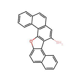 Bc1cc2ccc3ccccc3c2c2oc3ccc4ccccc4c3c12